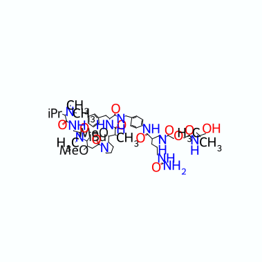 CCC(C)C(C(CC(=O)N1CCCC1C(OC)C(C)C(=O)NC(Cc1ccccc1)C(=O)NCc1ccc(NC(=O)C(CCCNC(N)=O)CNC(=O)COCC(=O)NC(C)(C)CO)cc1)OC)N(C)C(=O)CNC(=O)C(C(C)C)N(C)C